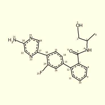 CC(CO)NC(=O)c1ccccc1-c1ccc(-c2cnc(N)cn2)c(F)c1